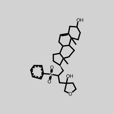 CC12CCC(O)CC1=CCC1C2CCC2(C)C1CC[C@@H]2CC(CC1(O)CCOC1)S(=O)(=O)c1ccccc1